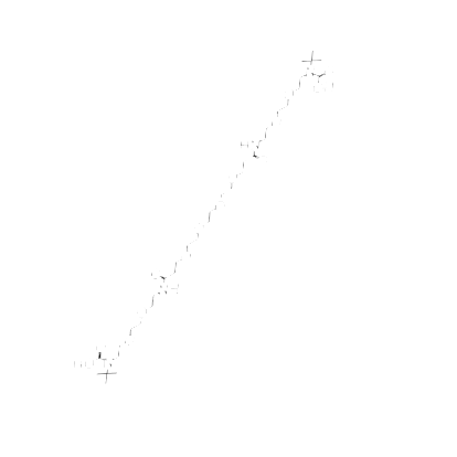 CC(C)(C)N(CCOCCOCCNC(=O)CCOCCOCCOCCOCCC(=O)NCCOCCOCCN(C(=O)O)C(C)(C)C)C(=O)O